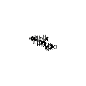 CC(C)Nc1cc(-c2cnn3cc(Cl)cnc23)ncc1C(=O)NC[C@@H](F)C1(O)COC1